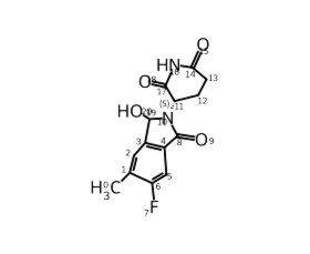 Cc1cc2c(cc1F)C(=O)N([C@H]1CCC(=O)NC1=O)C2O